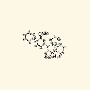 COc1cc(C(c2cn[nH]c2-c2ccccc2F)N2CCOCC2)ccc1-c1ccccc1